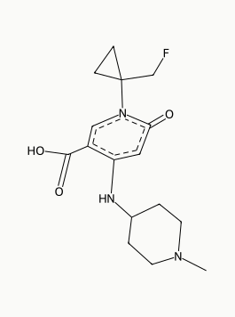 CN1CCC(Nc2cc(=O)n(C3(CF)CC3)cc2C(=O)O)CC1